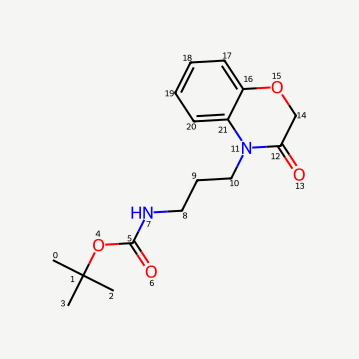 CC(C)(C)OC(=O)NCCCN1C(=O)COc2ccccc21